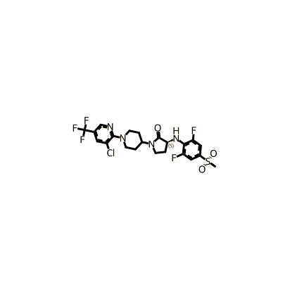 CS(=O)(=O)c1cc(F)c(N[C@H]2CCN(C3CCN(c4ncc(C(F)(F)F)cc4Cl)CC3)C2=O)c(F)c1